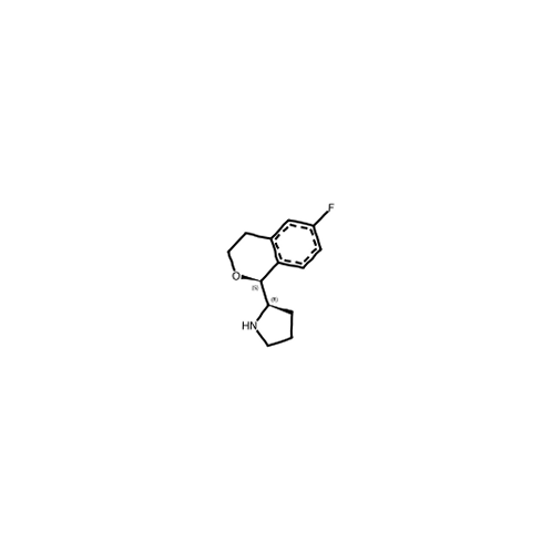 Fc1ccc2c(c1)CCO[C@@H]2[C@H]1CCCN1